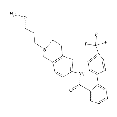 COCCCN1CCc2cc(NC(=O)c3ccccc3-c3ccc(C(F)(F)F)cc3)ccc2C1